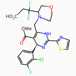 COC(=O)C1=C(CN2CCOCC2C(F)(F)CC(=O)O)NC(c2nccs2)=N[C@H]1c1cccc(F)c1Cl